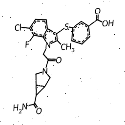 Cc1c(Sc2cccc(C(=O)O)c2)c2ccc(Cl)c(F)c2n1CC(=O)N1CC2C(C1)C2C(N)=O